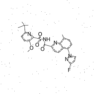 COc1ccc(C(C)(C)C)nc1S(=O)(=O)NC(=O)c1ccc2c(-n3ccc(F)n3)ccc(C)c2n1